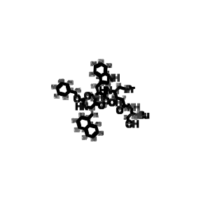 CC[C@H](C)[C@@H](CO)NC(=O)C[C@H](O)[C@H](CC(C)C)NC(=O)[C@H](Cc1c[nH]c2ccccc12)NC(=O)[C@H](Cc1cccc2ccccc12)NC(=O)OCc1ccccc1